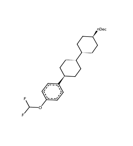 CCCCCCCCCC[C@H]1CC[C@H]([C@H]2CC[C@H](c3ccc(OC(F)F)cc3)CC2)CC1